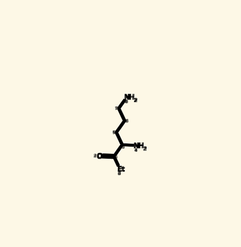 CCC(=O)C(N)CCCN